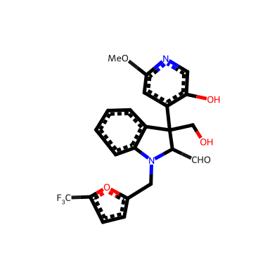 COc1cc(C2(CO)c3ccccc3N(Cc3ccc(C(F)(F)F)o3)C2C=O)c(O)cn1